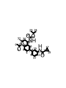 CC(=O)N1c2ccc(-c3cccc(NC(=O)C4CC4)c3)cc2[C@H](NC(=O)OC(C)C)C[C@@H]1C